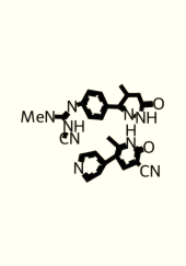 CN/C(=N/c1ccc(C2=NNC(=O)CC2C)cc1)NC#N.Cc1[nH]c(=O)c(C#N)cc1-c1ccncc1